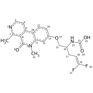 Cc1nccc2c1c(=O)n(C)c1cc(OCC(CC=C(F)F)NC(=O)O)ccc21